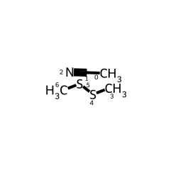 CC#N.CSSC